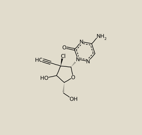 C#C[C@@]1(Cl)C(O)[C@@H](CO)O[C@H]1n1ncc(N)nc1=O